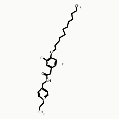 CCCCCCCCCCCCOc1ccc(CC(=O)NCc2cc[n+](CCC)cc2)cc1Cl.[I-]